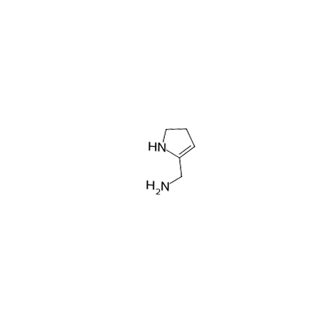 NCC1=CCCN1